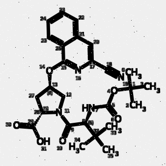 CC(C)(C)OC(=O)N[C@H](C(=O)N1C[C@H](Oc2nc(C#N)cc3ccccc23)C[C@H]1C(=O)O)C(C)(C)C